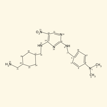 CN(C)c1ccc(CNc2ncc([N+](=O)[O-])c(NCC3CCC(CN)CC3)n2)cc1